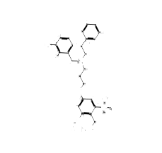 CC(=O)NCc1c(F)cc(OCCCN(CCc2ccccc2)Cc2cccc(C(F)(F)F)c2F)cc1S(C)(=O)=O